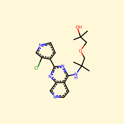 CC(C)(O)COCC(C)(C)Nc1nc(-c2ccncc2Cl)nc2cnccc12